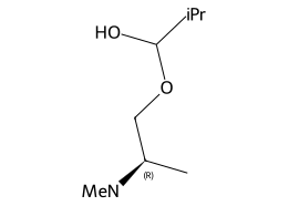 CN[C@H](C)COC(O)C(C)C